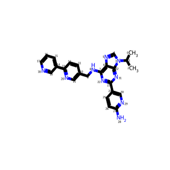 CC(C)n1cnc2c(NCc3ccc(-c4cccnc4)nc3)nc(-c3ccc(N)nc3)nc21